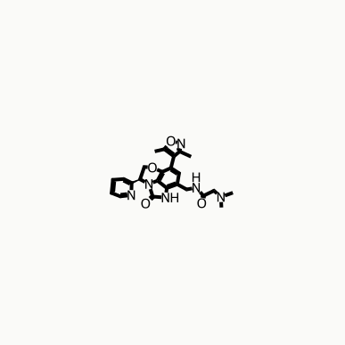 Cc1noc(C)c1-c1cc(CNC(=O)CN(C)C)c2[nH]c(=O)n3c2c1OC[C@@H]3c1ccccn1